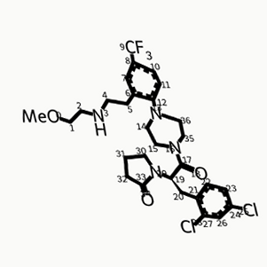 COCCNCCc1cc(C(F)(F)F)ccc1N1CCN(C(=O)[C@@H](Cc2ccc(Cl)cc2Cl)N2CCCC2=O)CC1